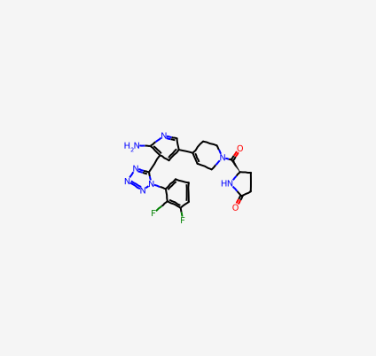 Nc1ncc(C2=CCN(C(=O)[C@H]3CCC(=O)N3)CC2)cc1-c1nnnn1-c1cccc(F)c1F